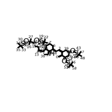 C=C1C(=CC=C2CCC[C@]3(C)[C@@H]([C@H](C)CC[C@@H](O[Si](C)(C)C(C)(C)C)C(C)(C)O[Si](C)(C)C(C)(C)C)CC[C@@H]23)C[C@@H](O[Si](C)(C)C(C)(C)C)C[C@@H]1O[Si](C)(C)C(C)(C)C